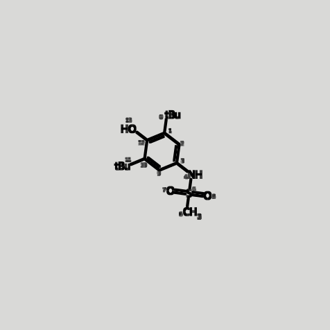 CC(C)(C)c1cc(NS(C)(=O)=O)cc(C(C)(C)C)c1O